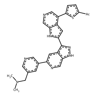 CC(=O)c1ccc(-c2cncc3[nH]c(-c4n[nH]c5cnc(-c6cncc(CN(C)C)c6)cc45)cc23)s1